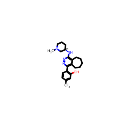 CN1CCC[C@@H](Nc2nnc(-c3ccc(C(F)(F)F)cc3O)c3c2CCCCC3)C1